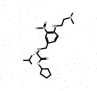 CC(C)C[C@H](NCc1ccc(NCCN(C)C)c([N+](=O)[O-])c1)C(=O)OC1CCCC1